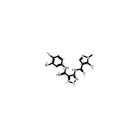 Cn1ncc(C(=O)Nc2nonc2C(=N)Nc2ccc(F)c(Br)c2)c1Cl